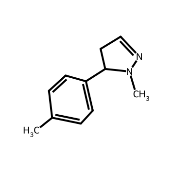 Cc1ccc(C2CC=NN2C)cc1